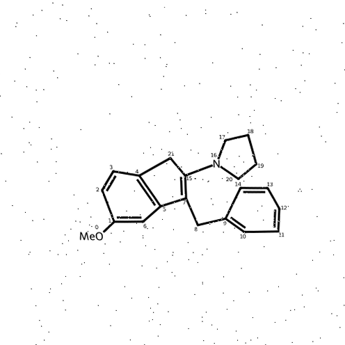 COc1ccc2c(c1)C(Cc1ccccc1)=C(N1CCCC1)C2